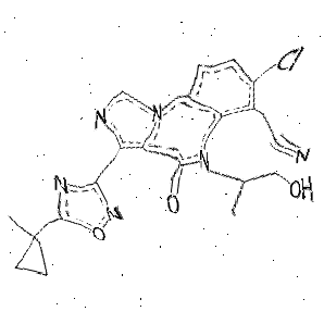 CC(CO)n1c(=O)c2c(-c3noc(C4(C)CC4)n3)ncn2c2ccc(Cl)c(C#N)c21